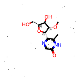 CO[C@H]1C(O)[C@@H](CO)O[C@H]1c1ncc(=O)[nH]c1C